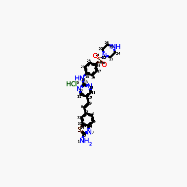 Cl.Nc1nc2ccc(/C=C/c3cnc(Nc4ccc(S(=O)(=O)N5CCNCC5)cc4)nc3)cc2s1